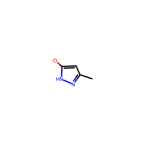 Cc1cc([O])[nH]n1